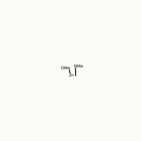 CNC.C[O][Zn]